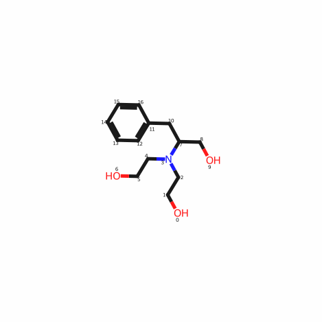 OCCN(CCO)C(CO)Cc1ccccc1